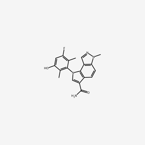 Cc1c(O)cc(F)c(C)c1-n1cc(C(N)=O)c2ccc3c(cnn3C)c21